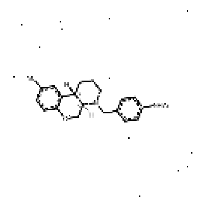 CC(=O)Nc1ccc(CN2CCC[C@H]3c4cc(C#N)ccc4OC[C@@H]32)cc1